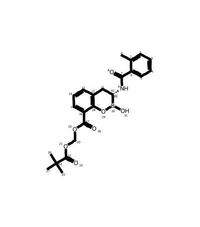 Cc1ccccc1C(=O)N[C@H]1Cc2cccc(C(=O)OCOC(=O)C(C)(C)C)c2OB1O